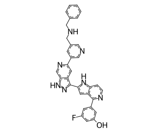 Oc1cc(F)cc(-c2nccc3[nH]c(-c4n[nH]c5cnc(-c6cncc(CNCc7ccccc7)c6)cc45)cc23)c1